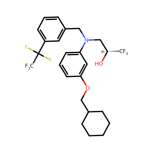 O[C@H](CN(Cc1cccc(C(F)(F)C(F)(F)F)c1)c1cccc(OCC2CCCCC2)c1)C(F)(F)F